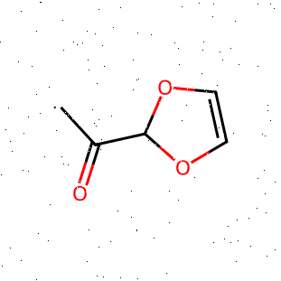 [CH2]C(=O)C1OC=CO1